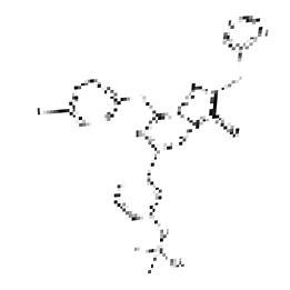 CC(C)(C)[Si](C)(C)Oc1cccc(-c2cn3c(=O)c(Cc4ccco4)nc-3c(Cc3ccc(F)cc3)[nH]2)c1